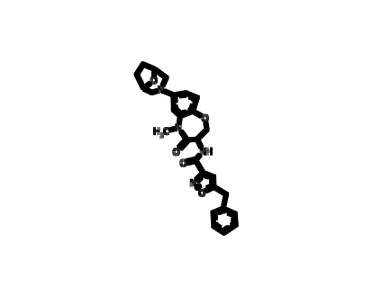 CN1C(=O)C(NC(=O)c2cc(Cc3ccccc3)on2)COc2ccc(N3CC4CCC(C3)O4)cc21